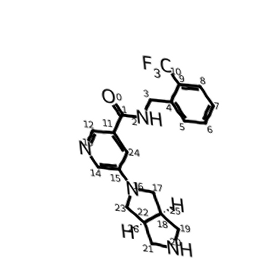 O=C(NCc1ccccc1C(F)(F)F)c1cncc(N2C[C@H]3CNC[C@H]3C2)c1